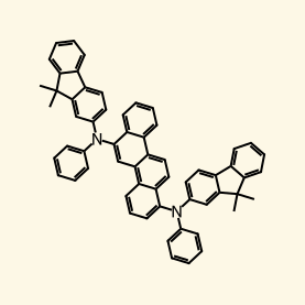 CC1(C)c2ccccc2-c2ccc(N(c3ccccc3)c3cc4c5cccc(N(c6ccccc6)c6ccc7c(c6)C(C)(C)c6ccccc6-7)c5ccc4c4ccccc34)cc21